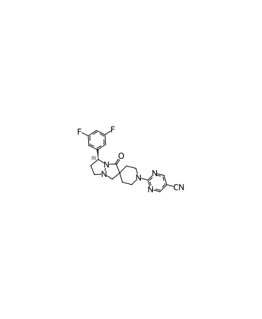 N#Cc1cnc(N2CCC3(CC2)CN2CC[C@@H](c4cc(F)cc(F)c4)N2C3=O)nc1